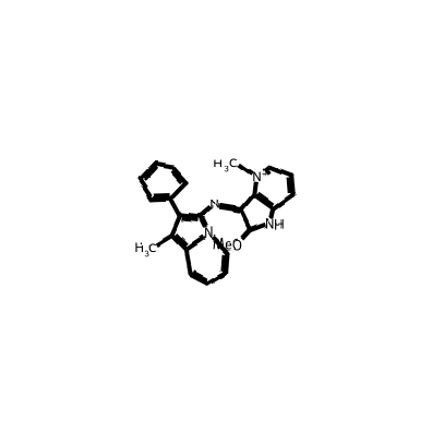 COC1Nc2ccc[n+](C)c2C1=Nc1c(-c2ccccc2)c(C)c2ccccn12